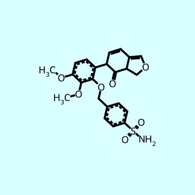 COc1ccc(C2C=CC3=COCC3C2=O)c(OCc2ccc(S(N)(=O)=O)cc2)c1OC